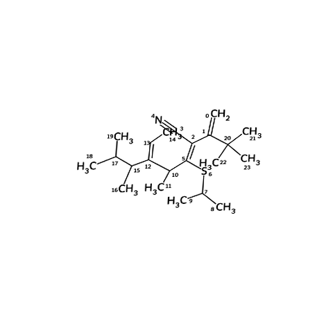 C=C(/C(C#N)=C(\SC(C)C)C(C)/C(=C\C)C(C)C(C)C)C(C)(C)C